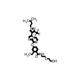 CCc1cc(Oc2nccn3c(-c4cn(CCC(C)C)nc4C(F)(F)F)cnc23)ccc1C(=O)NCCOCCO